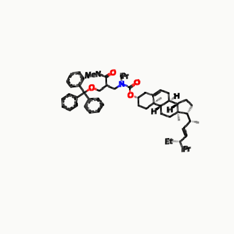 CC[C@H](/C=C/[C@@H](C)[C@H]1CC[C@H]2[C@@H]3CC=C4C[C@@H](OC(=O)N(CC(COC(c5ccccc5)(c5ccccc5)c5ccccc5)C(=O)NC)C(C)C)CC[C@]4(C)[C@H]3CC[C@]12C)C(C)C